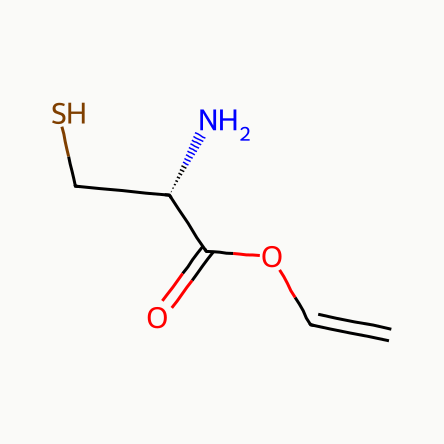 C=COC(=O)[C@@H](N)CS